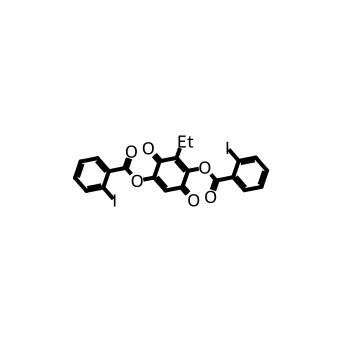 CCC1=C(OC(=O)c2ccccc2I)C(=O)C=C(OC(=O)c2ccccc2I)C1=O